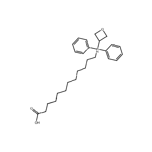 O=C(O)CCCCCCCCCCC[PH](c1ccccc1)(c1ccccc1)C1COC1